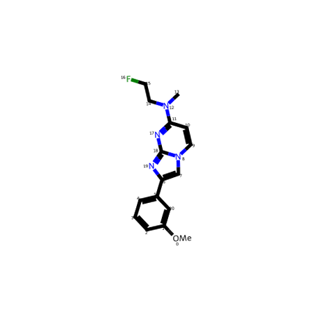 COc1cccc(-c2cn3ccc(N(C)CCF)nc3n2)c1